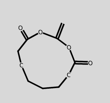 C=C1OC(=O)CCCCCCC(=O)O1